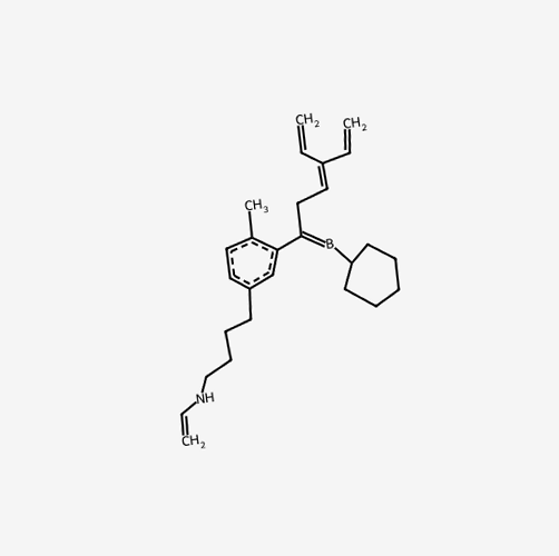 C=CNCCCCc1ccc(C)c(/C(=B\C2CCCCC2)CC=C(C=C)C=C)c1